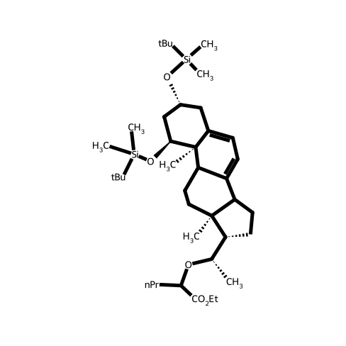 CCCC(O[C@@H](C)[C@H]1CCC2C3=CC=C4C[C@@H](O[Si](C)(C)C(C)(C)C)C[C@H](O[Si](C)(C)C(C)(C)C)[C@]4(C)C3CC[C@@]21C)C(=O)OCC